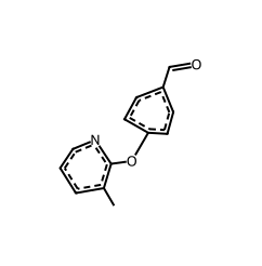 Cc1cccnc1Oc1ccc(C=O)cc1